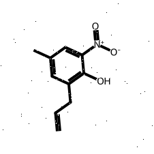 C=CCc1cc(C)cc([N+](=O)[O-])c1O